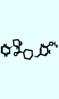 Cc1ncc(C[C@H]2CC[C@H](C(=O)N3OCC[C@H]3c3cnccn3)CC2)cn1